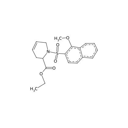 CCOC(=O)C1CC=CCN1S(=O)(=O)c1ccc2ccccc2c1OC